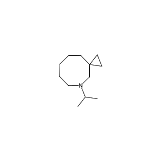 CC(C)N1CCCCCC2(CC2)C1